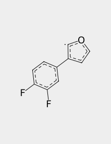 Fc1ccc(-c2[c]occ2)cc1F